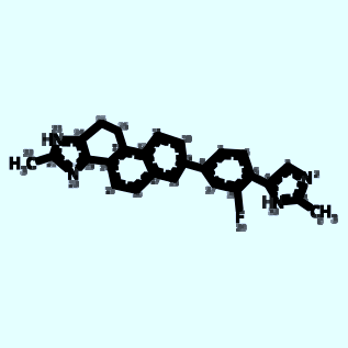 Cc1ncc(-c2ccc(-c3ccc4c5c(ccc4c3)-c3nc(C)[nH]c3CC5)cc2F)[nH]1